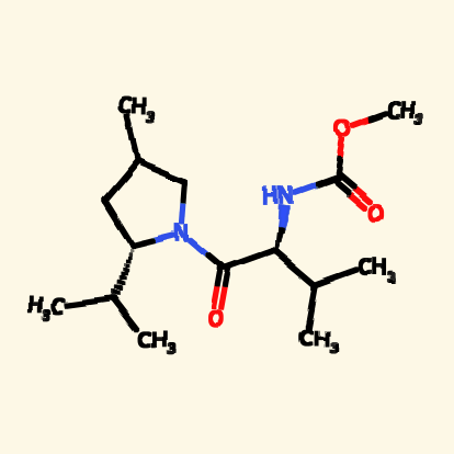 COC(=O)N[C@H](C(=O)N1CC(C)C[C@H]1C(C)C)C(C)C